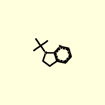 CC(C)(C)N1CCc2cccnc21